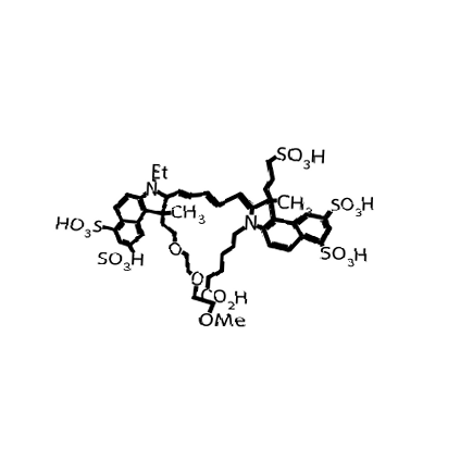 CCN1c2ccc3c(S(=O)(=O)O)cc(S(=O)(=O)O)cc3c2C(C)(CCOCCOCCOC)C1C=CC=CC=C1N(CCCCCC(=O)O)c2ccc3c(S(=O)(=O)O)cc(S(=O)(=O)O)cc3c2C1(C)CCCS(=O)(=O)O